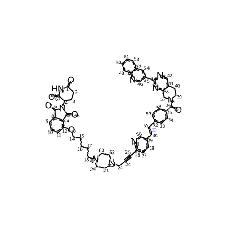 O=C1CCC(N2C(=O)c3cccc(OCCCCCN4CCN(CC#Cc5ccc(/C=C/c6ccc(C(=O)N7CCc8cnc(-c9cnc%10ccccc%10c9)nc8C7)cc6)cn5)CC4)c3C2=O)C(=O)N1